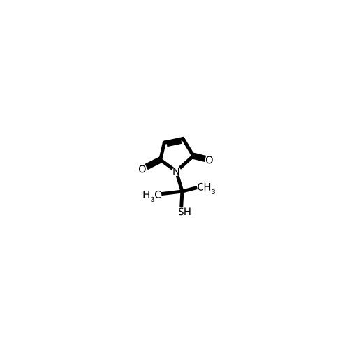 CC(C)(S)N1C(=O)C=CC1=O